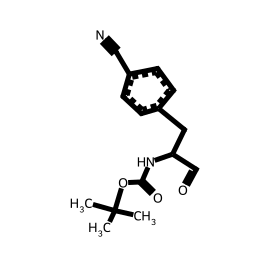 CC(C)(C)OC(=O)NC(C=O)Cc1ccc(C#N)cc1